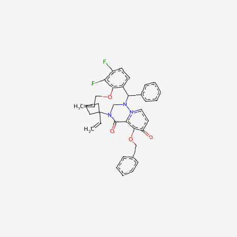 C=CCOc1c(C(c2ccccc2)N2CN(C3(C=C)CCC3)C(=O)c3c(OCc4ccccc4)c(=O)ccn32)ccc(F)c1F